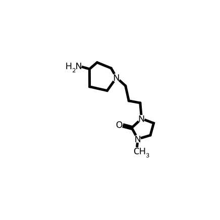 CN1CCN(CCCN2CCC(N)CC2)C1=O